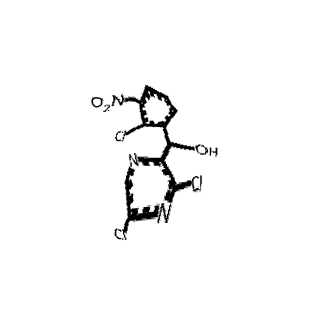 O=[N+]([O-])c1cccc(C(O)c2ncc(Cl)nc2Cl)c1Cl